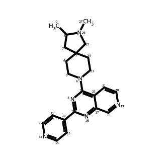 CC1CC2(CCN(c3nc(-c4ccncc4)nc4cnccc34)CC2)CN1C